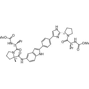 COC(=O)N[C@H](C(=O)N1CCC[C@H]1c1nc(-c2ccc(-c3cc4cc(NC(=O)[C@]5(C)CCCN5C(=O)[C@@H](NC(=O)OC)C(C)C)ccc4[nH]3)cc2)c[nH]1)C(C)C